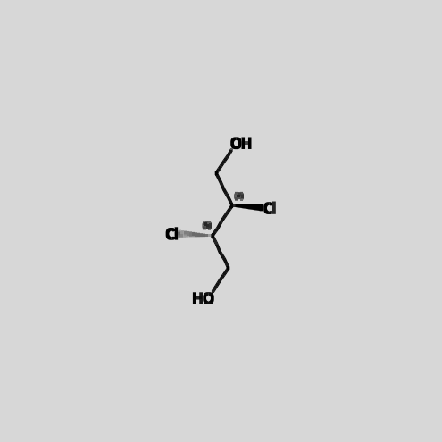 OC[C@@H](Cl)[C@@H](Cl)CO